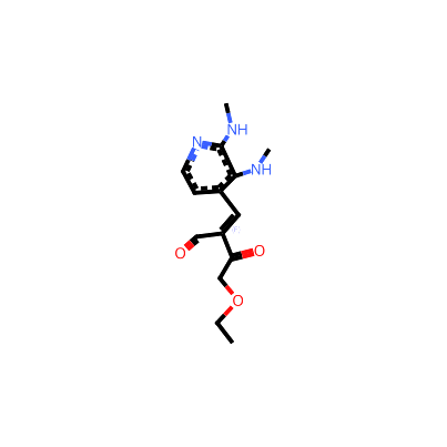 CCOCC(=O)/C(C=O)=C/c1ccnc(NC)c1NC